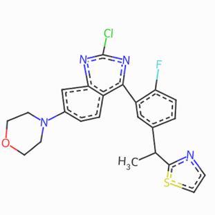 CC(c1ccc(F)c(-c2nc(Cl)nc3cc(N4CCOCC4)ccc23)c1)c1nccs1